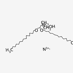 CCCCCCCCCCCCCCOCC(C[N+](C)(C)CCO)OCCCCCCCCCCCCCC.[N+3]